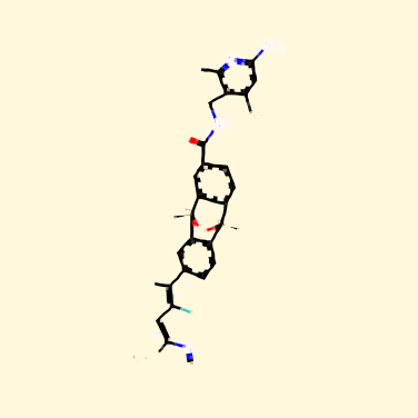 C=N/C(=C\C(F)=C(/C)c1ccc2c(c1)[C@H]1O[C@@H]2c2ccc(C(=O)NCc3c(CCC)cc(N)nc3C)cc21)OC